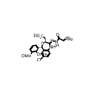 CCOC(=O)C[C@@H]1O[C@@H](c2cccc(OC)c2OC)c2cc(Cl)ccc2NC1=NNC(=O)CC(C)(C)C